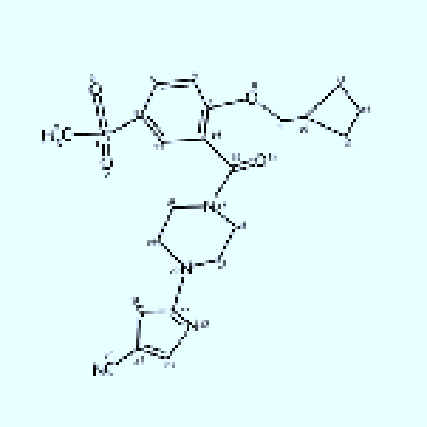 CS(=O)(=O)c1ccc(OCC2CCC2)c(C(=O)N2CCN(c3ncc(C#N)s3)CC2)c1